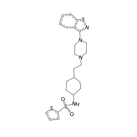 O=S(=O)(NC1CCC(CCN2CCN(c3nsc4ccccc34)CC2)CC1)c1cccs1